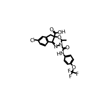 CC1OC2(C(=O)O)Cc3cc(Cl)ccc3C2=NN1C(=O)Nc1ccc(OC(F)(F)F)cc1